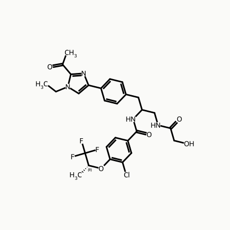 CCn1cc(-c2ccc(CC(CNC(=O)CO)NC(=O)c3ccc(O[C@H](C)C(F)(F)F)c(Cl)c3)cc2)nc1C(C)=O